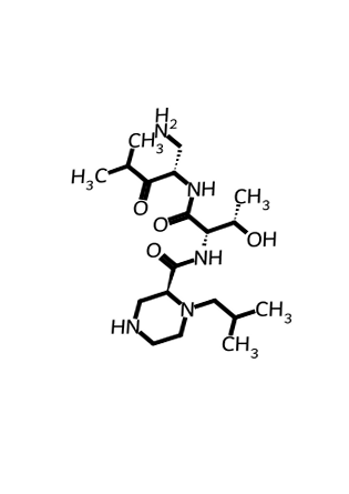 CC(C)CN1CCNC[C@H]1C(=O)N[C@H](C(=O)N[C@@H](CN)C(=O)C(C)C)[C@H](C)O